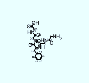 NCC(=O)NCC(=O)NC(Cc1ccccc1)C(=O)NCC(=O)NCC(=O)O